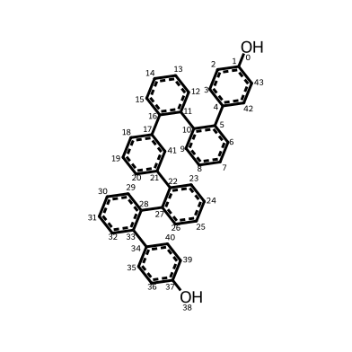 Oc1ccc(-c2ccccc2-c2ccccc2-c2cccc(-c3ccccc3-c3ccccc3-c3ccc(O)cc3)c2)cc1